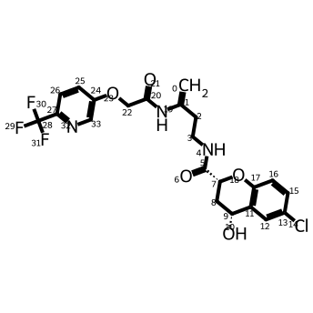 C=C(CCNC(=O)[C@H]1C[C@@H](O)c2cc(Cl)ccc2O1)NC(=O)COc1ccc(C(F)(F)F)nc1